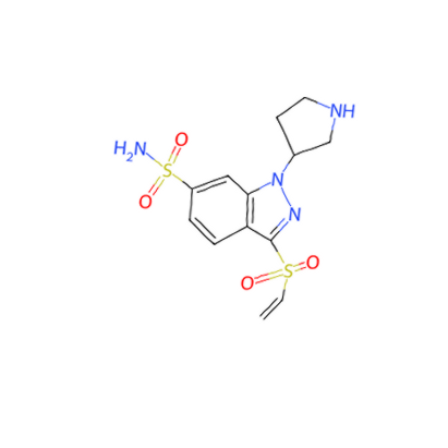 C=CS(=O)(=O)c1nn(C2CCNC2)c2cc(S(N)(=O)=O)ccc12